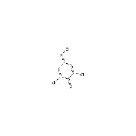 O=C1C(Cl)=CC(=NCl)C=C1Cl